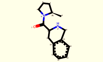 C[C@@H]1CCCN1C(=O)C1Cc2ccccc2CN1